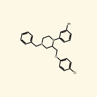 CC(C)c1cccc(N2CCN(Cc3ccccc3)CC2COc2ccc(Cl)cc2)c1